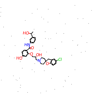 CC(O)c1cccc(NC(=O)c2ccc(O)cc2OC[C@H](O)CN2CCC3(CC2)Cc2cc(Cl)ccc2O3)c1